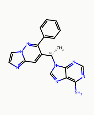 C[C@@H](c1cc2nccn2nc1-c1ccccc1)n1cnc2c(N)ncnc21